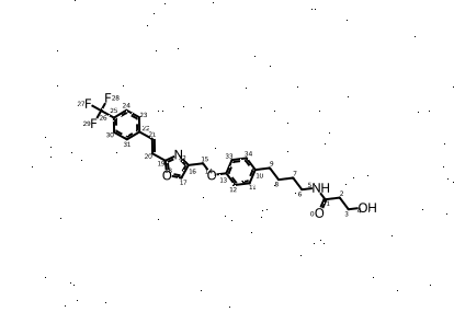 O=C(CCO)NCCCCc1ccc(OCc2coc(C=Cc3ccc(C(F)(F)F)cc3)n2)cc1